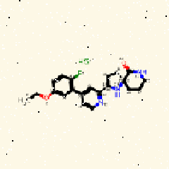 CCOc1ccc(F)c(-c2ccnc([C@H]3CC[C@]4(CCCNC4=O)N3)c2)c1.Cl